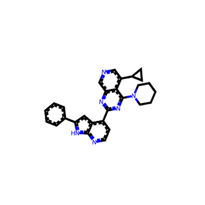 c1ccc(-c2cc3c(-c4nc(N5CCCCC5)c5c(C6CC6)cncc5n4)ccnc3[nH]2)cc1